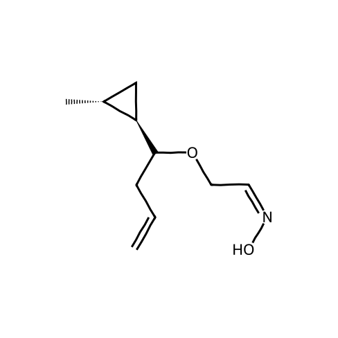 C=CCC(OC/C=N\O)[C@@H]1C[C@H]1C